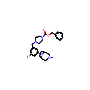 O=C(OCc1ccccc1)N1CCN(Cc2cc(F)cc(N3C4CCC3CNC4)c2)CC1